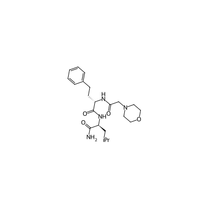 CC(C)C[C@H](NC(=O)[C@H](CCc1ccccc1)NC(=O)CN1CCOCC1)C(N)=O